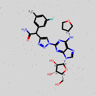 NC(=O)C(c1cc(F)cc(C(F)(F)F)c1)c1cn(-c2nc(N[C@@H]3CCOC3)c3ncn([C@@H]4O[C@H](CO)[C@H](O)[C@H]4O)c3n2)nn1